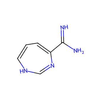 N=C(N)C1=CC=CNC=N1